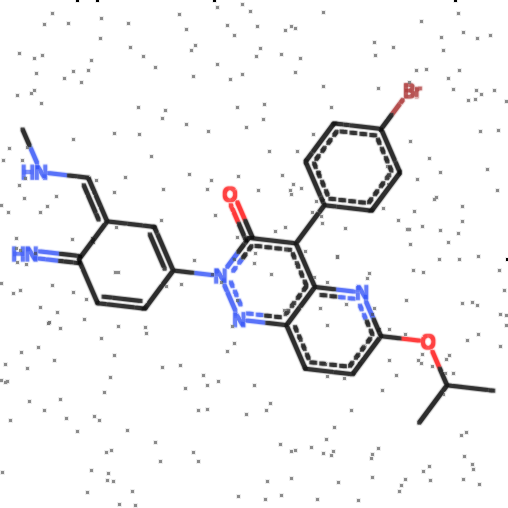 CN/C=C1/C=C(n2nc3ccc(OC(C)C)nc3c(-c3ccc(Br)cc3)c2=O)C=CC1=N